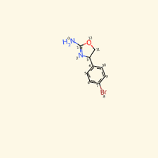 NC1=NC(c2ccc(Br)cc2)CO1